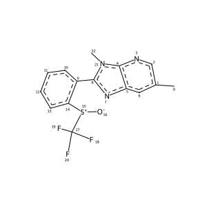 Cc1cnc2c(c1)nc(-c1ccccc1[S+]([O-])C(F)(F)F)n2C